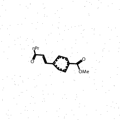 CCCC(=O)C=Cc1ccc(C(=O)OC)cc1